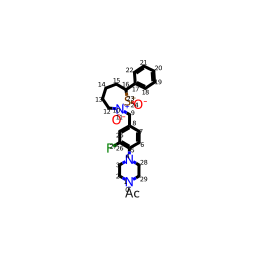 CC(=O)N1CCN(c2ccc(C[N+]3([O-])CCCCC(c4ccccc4)[S+]3[O-])cc2F)CC1